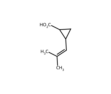 CC(C)=CC1CC1C(=O)O